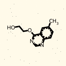 Cc1ccc2ncnc(OCCO)c2c1